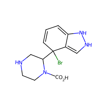 O=C(O)N1CCNCC1C1(Br)C=CC=C2NNC=C21